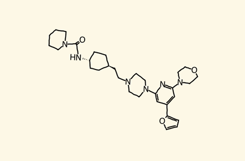 O=C(N[C@H]1CC[C@H](CCN2CCN(c3cc(-c4ccco4)cc(N4CCOCC4)n3)CC2)CC1)N1CCCCC1